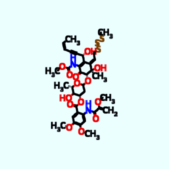 C=C(OC)C(=O)Nc1cc(OC)c(OC)cc1C(=O)O[C@H]1CC(O[C@@H]2C(=O)C(NC(=O)OC)=C([C@@H](O)C#C/C=C\C)/C(=C\CSSSC)[C@@]2(C)O)O[C@@H](C)C1O